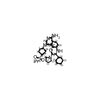 CC(=O)Nc1ccc(S(=O)(=O)C(C)C)c([C@H]2CCCN2C(=O)[C@@H](Nc2ccc3c(N)nccc3c2)c2ccccc2)c1